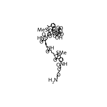 CSSC(C)c1ccc(NC(=O)COCCOCCN)cc1C(=O)OCCCCC(=O)NCC#Cc1cn([C@H]2C[C@@H](OC(=O)c3ccccc3C(C)SSC)C(COP(=O)(O)OP(=O)(O)OP(=O)(O)O)O2)c(=O)[nH]c1=O